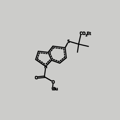 CCOC(=O)C(C)(C)Sc1ccc2c(ccn2C(=O)OC(C)(C)C)c1